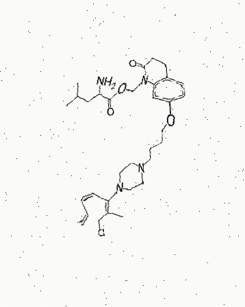 C=C/C=C\C(=C(\C)CCl)N1CCN(CCCCOc2ccc3c(c2)N(COC(=O)C(N)CC(C)C)C(=O)CC3)CC1